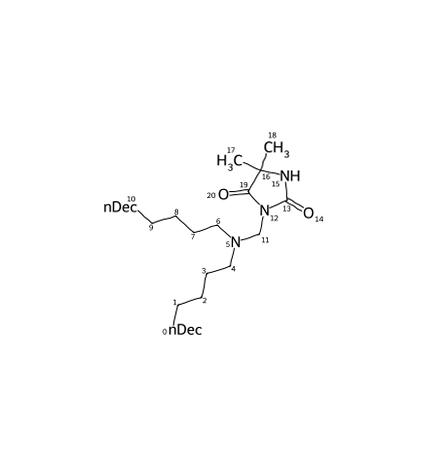 CCCCCCCCCCCCCCN(CCCCCCCCCCCCCC)CN1C(=O)NC(C)(C)C1=O